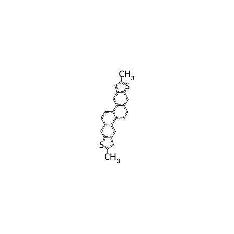 Cc1cc2cc3c(ccc4c5cc6cc(C)sc6cc5ccc34)cc2s1